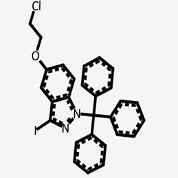 ClCCOc1ccc2c(c1)c(I)nn2C(c1ccccc1)(c1ccccc1)c1ccccc1